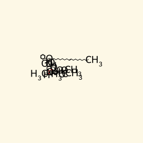 CCCCCCCCC=CCCCCCCCC(=O)OC(C(=O)OC1=CC[C@@]2(O)[C@H]3Cc4ccc(OC(=O)OC(C)(C)C)c5c4[C@@]2(CCN3C)[C@H]1O5)c1ccccc1